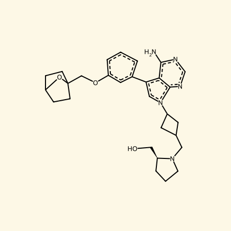 Nc1ncnc2c1c(-c1cccc(OCC34CCC(CC3)O4)c1)cn2C1CC(CN2CCC[C@H]2CO)C1